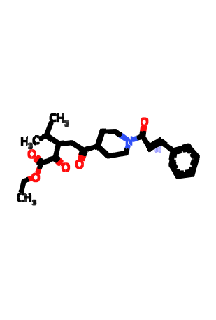 CCOC(=O)C(=O)C(CC(=O)C1CCN(C(=O)/C=C/c2ccccc2)CC1)C(C)C